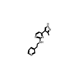 Cc1n[nH]cc1-c1ccnc(NCCc2cccnc2)n1